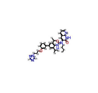 CCCCN(C(=O)Nc1c(C(C)C)cc(-c2cccc(OCCCn3cncn3)c2)cc1C(C)C)c1cc2cccnc2[nH]c1=O